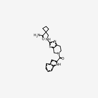 NC(=O)C1(CNc2nc3c(s2)CN(C(=O)c2cc4ccccc4[nH]2)CC3)CCC1